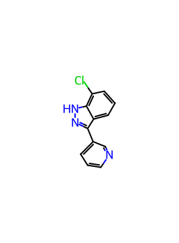 Clc1cccc2c(-c3cccnc3)n[nH]c12